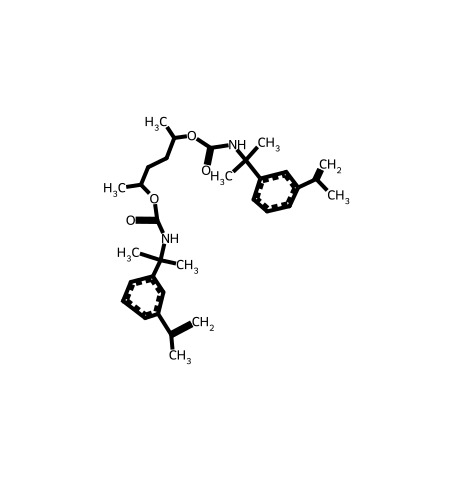 C=C(C)c1cccc(C(C)(C)NC(=O)OC(C)CCC(C)OC(=O)NC(C)(C)c2cccc(C(=C)C)c2)c1